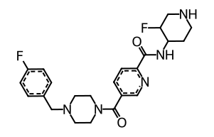 O=C(NC1CCNCC1F)c1ccc(C(=O)N2CCN(Cc3ccc(F)cc3)CC2)cn1